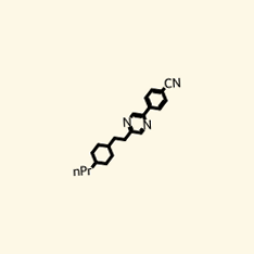 CCCC1CCC(CCc2cnc(-c3ccc(C#N)cc3)cn2)CC1